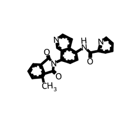 Cc1cccc2c1C(=O)N(c1ccc(NC(=O)c3ccccn3)c3ccncc13)C2=O